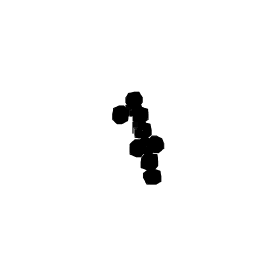 c1ccc(-c2ccc(-c3c4ccccc4c(-c4ccc(-c5ccc6c7ccccc7n(-c7ccccc7)c6c5)nc4)c4ccccc34)cc2)cc1